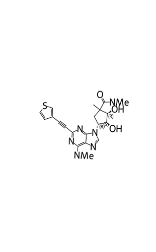 CNC(=O)C1(C)C[C@@H](n2cnc3c(NC)nc(C#Cc4ccsc4)nc32)[C@H](O)[C@@H]1O